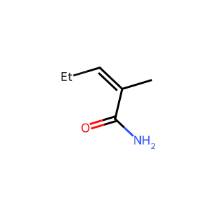 CC/C=C(/C)C(N)=O